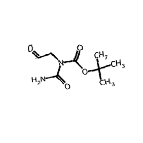 CC(C)(C)OC(=O)N(C[C]=O)C(N)=O